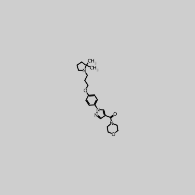 CC1(C)CCCN1CCCOc1ccc(-n2cc(C(=O)N3CCOCC3)cn2)cc1